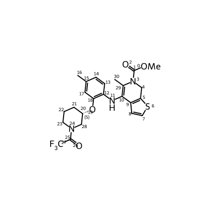 COC(=O)N1Cc2sccc2C(Nc2ccc(C)cc2O[C@H]2CCCN(C(=O)C(F)(F)F)C2)=C1C